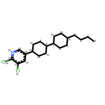 CCCCC1CCC(C2CCC(c3cnc(Cl)c(Cl)c3)CC2)CC1